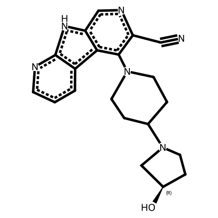 N#Cc1ncc2[nH]c3ncccc3c2c1N1CCC(N2CC[C@@H](O)C2)CC1